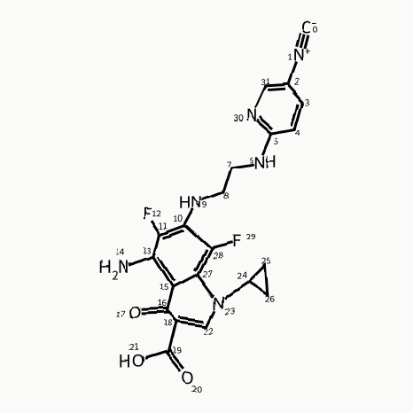 [C-]#[N+]c1ccc(NCCNc2c(F)c(N)c3c(=O)c(C(=O)O)cn(C4CC4)c3c2F)nc1